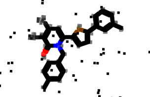 Cc1ccc(Cn2c(-c3ccc(-c4cccc(C)c4)s3)cc(C(F)(F)F)c(C#N)c2=O)cc1